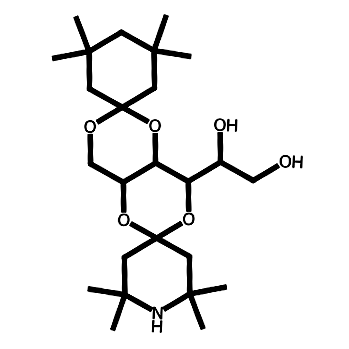 CC1(C)CC(C)(C)CC2(C1)OCC1OC3(CC(C)(C)NC(C)(C)C3)OC(C(O)CO)C1O2